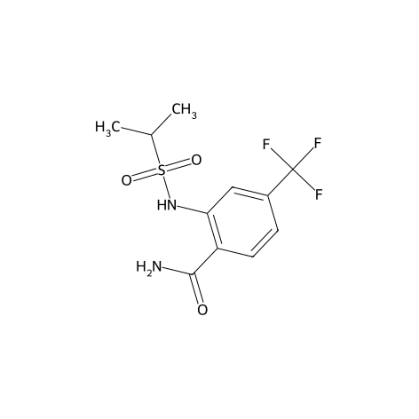 CC(C)S(=O)(=O)Nc1cc(C(F)(F)F)ccc1C(N)=O